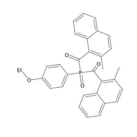 CCOc1ccc(P(=O)(C(=O)c2c(C)ccc3ccccc23)C(=O)c2c(C)ccc3ccccc23)cc1